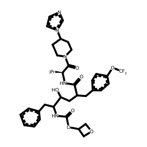 CC(C)[C@H](NC(=O)C(Cc1ccc(OC(F)(F)F)cc1)CC(O)C(Cc1ccccc1)NC(=O)OC1COC1)C(=O)N1CCC(n2ccnc2)CC1